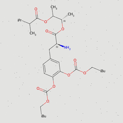 CCC(C)COC(=O)Oc1ccc(C[C@H](N)C(=O)O[C@@H](C)C(C)OC(=O)C(C)C(C)C)cc1OC(=O)OCC(C)CC